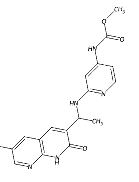 COC(=O)Nc1ccnc(NC(C)c2cc3cc(Cl)cnc3[nH]c2=O)c1